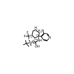 CC(C)(C)[Si](C)(C)O[C@@H]1[C@@H](C(F)(F)F)CNC[C@]1(NC(=O)O)c1ccncc1N